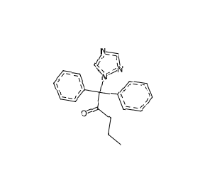 CCCC(=O)C(c1ccccc1)(c1ccccc1)n1cncn1